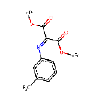 CCCOC(=O)C(=Nc1cccc(C(F)(F)F)c1)C(=O)OCCC